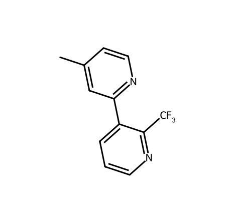 Cc1ccnc(-c2cccnc2C(F)(F)F)c1